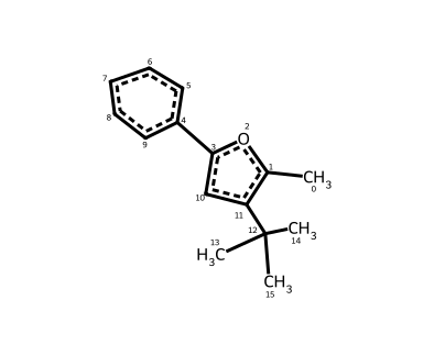 Cc1oc(-c2ccccc2)cc1C(C)(C)C